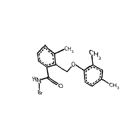 Cc1ccc(OCc2c(C)cccc2C(=O)NBr)c(C)c1